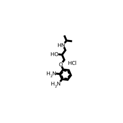 CC(C)NCC(O)COc1cccc(N)c1N.Cl